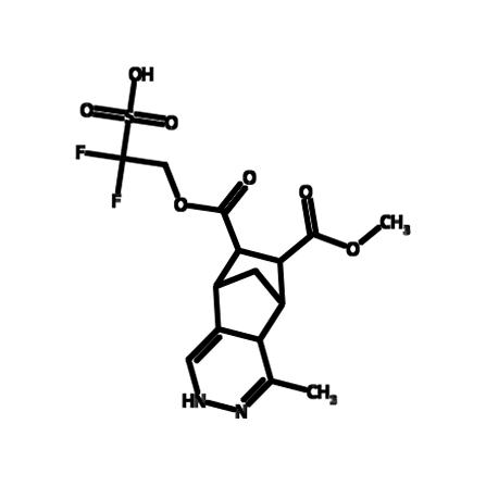 COC(=O)C1C2CC(C3=CNN=C(C)C32)C1C(=O)OCC(F)(F)S(=O)(=O)O